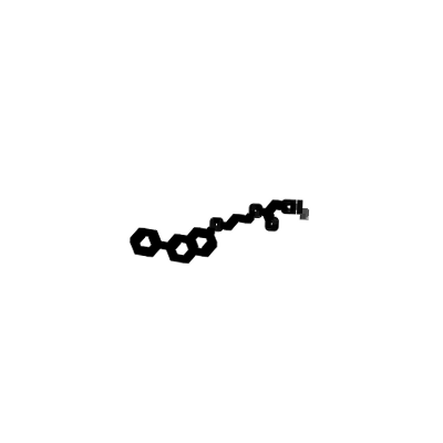 C=CC(=O)OCCCOc1ccc2c(c1)C=C(c1ccccc1)CC2